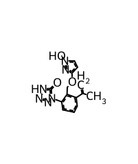 C=C(C)c1cccc(-n2nn[nH]c2=O)c1COc1ccn(O)n1